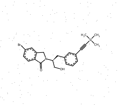 C[Si](C)(C)C#Cc1cccc(C[C@@H](CO)N2Cc3cc(Br)ccc3C2=O)c1